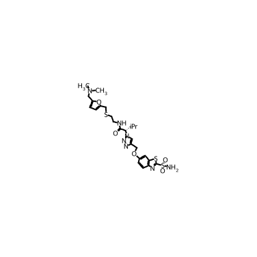 CC(C)[C@@H](C(=O)NCCSCc1ccc(CN(C)C)o1)n1cc(COc2ccc3nc(S(N)(=O)=O)sc3c2)nn1